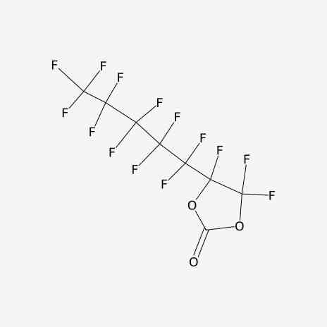 O=C1OC(F)(F)C(F)(C(F)(F)C(F)(F)C(F)(F)C(F)(F)C(F)(F)F)O1